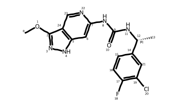 COc1n[nH]c2cc(NC(=O)N[C@H](C)c3ccc(F)c(Cl)c3)ncc12